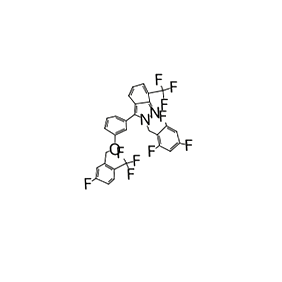 Fc1cc(F)c(Cn2nc3c(C(F)(F)F)cccc3c2-c2cccc(OCc3cc(F)ccc3C(F)(F)F)c2)c(F)c1